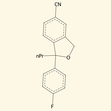 CCCC1(c2ccc(F)cc2)OCc2cc(C#N)ccc21